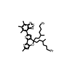 Cc1cc2c(s1)-c1sc(-c3c(C)c(C)c(C)c4nsnc34)cc1C(CCC(C)CCCC(C)C)(CCC(C)CCCC(C)C)O2